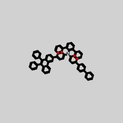 c1ccc(-c2ccc(-c3ccc(N(c4ccc(-c5ccc6c(-c7ccccc7)c(-c7ccccc7)c7ccccc7c6c5)cc4)c4c(-c5ccccc5)cccc4-c4ccccc4)cc3)cc2)cc1